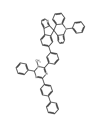 CN1C(c2cccc(-c3ccc4c(c3)C3(c5ccccc5N(c5ccccc5)c5ccccc53)c3ncccc3-4)c2)=NC(c2ccc(-c3ccccc3)cc2)=NC1c1ccccc1